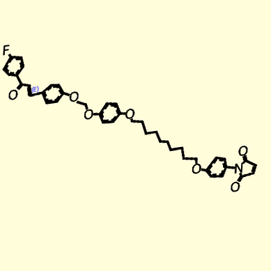 O=C(/C=C/c1ccc(OCCOc2ccc(OCCCCCCCCCCOc3ccc(N4C(=O)C=CC4=O)cc3)cc2)cc1)c1ccc(F)cc1